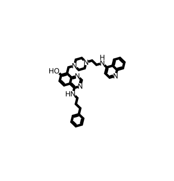 Oc1ccc2c(NCCCc3ccccc3)ncnc2c1CN1CCN(CCNc2ccnc3ccccc23)CC1